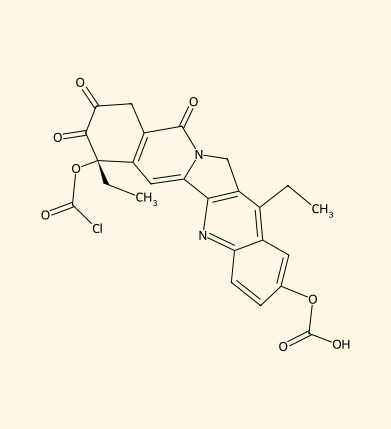 CCc1c2c(nc3ccc(OC(=O)O)cc13)-c1cc3c(c(=O)n1C2)CC(=O)C(=O)[C@@]3(CC)OC(=O)Cl